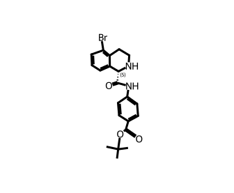 CC(C)(C)OC(=O)c1ccc(NC(=O)[C@H]2NCCc3c(Br)cccc32)cc1